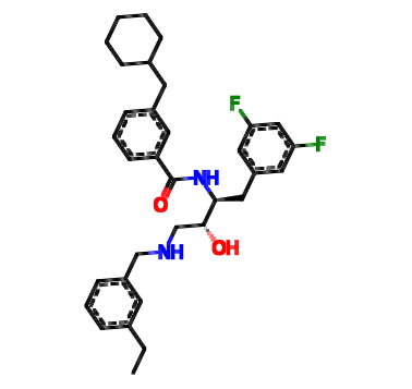 CCc1cccc(CNC[C@@H](O)[C@H](Cc2cc(F)cc(F)c2)NC(=O)c2cccc(CC3CCCCC3)c2)c1